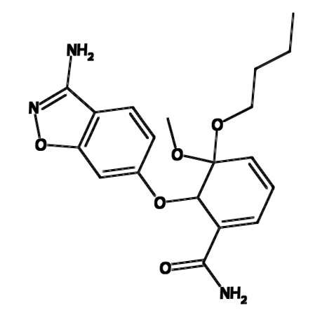 CCCCOC1(OC)C=CC=C(C(N)=O)C1Oc1ccc2c(N)noc2c1